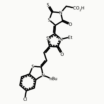 CCCCN1/C(=C/C=c2/s/c(=C3\SC(=S)N(CC(=O)O)C3=O)n(CC)c2=O)Sc2ccc(Cl)cc21